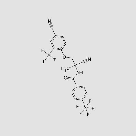 CC(C#N)(COc1ccc(C#N)cc1C(F)(F)F)NC(=O)c1ccc(S(F)(F)(F)(F)F)cc1